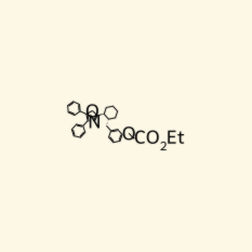 CCOC(=O)COc1cccc(C[C@H]2CCCC[C@@H]2c2nc(-c3ccccc3)c(-c3ccccc3)o2)c1